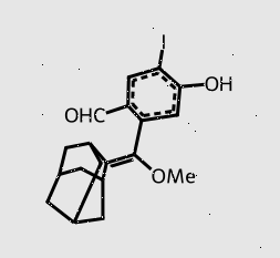 COC(=C1C2CC3CC(C2)CC1C3)c1cc(O)c(I)cc1C=O